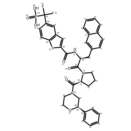 O=C(N[C@@H](Cc1ccc2ccccc2c1)C(=O)N1CCC[C@H]1C(=O)N1CCO[C@H](c2ccccc2)C1)c1cc2cc(C(F)(F)P(=O)(O)O)ccc2s1